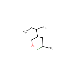 CCC(C)C(CO)CC(C)Cl